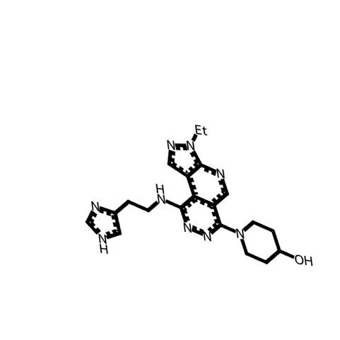 CCn1ncc2c3c(NCCc4c[nH]cn4)nnc(N4CCC(O)CC4)c3cnc21